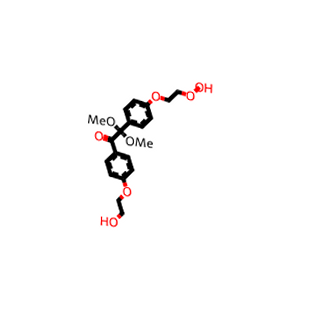 COC(OC)(C(=O)c1ccc(OCCO)cc1)c1ccc(OCCOO)cc1